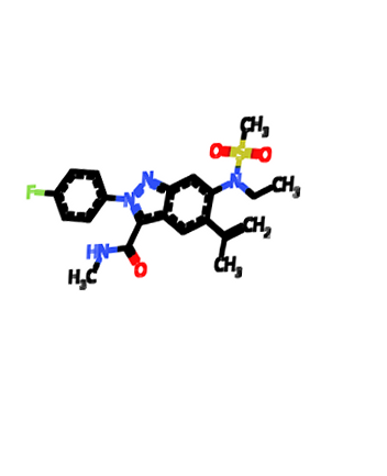 C=C(C)c1cc2c(C(=O)NC)n(-c3ccc(F)cc3)nc2cc1N(CC)S(C)(=O)=O